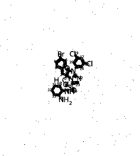 C[C@@]1(Cc2ccc(Br)cc2)C(=O)N(c2cc(Cl)cc(Cl)c2)c2ncc(S(=O)(=O)NC3CCCC[C@H]3N)n21